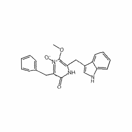 COc1c(Cc2c[nH]c3ccccc23)[nH]c(=O)c(Cc2ccccc2)[n+]1[O-]